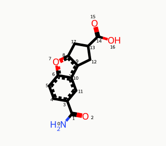 NC(=O)c1ccc2oc3c(c2c1)CC(C(=O)O)C3